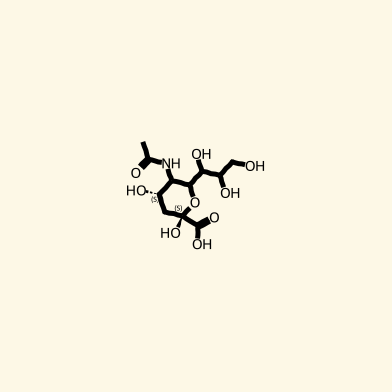 CC(=O)NC1C(C(O)C(O)CO)O[C@](O)(C(=O)O)C[C@@H]1O